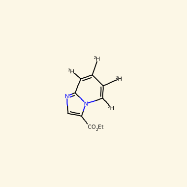 [2H]c1c([2H])c([2H])n2c(C(=O)OCC)cnc2c1[2H]